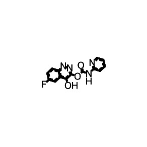 O=C(Nc1ccccn1)Oc1nnc2ccc(F)cc2c1O